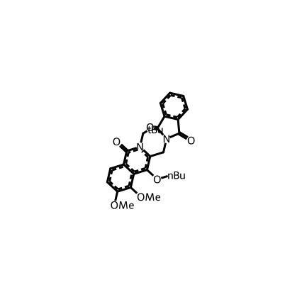 CCCCOc1c(CN2C(=O)c3ccccc3C2=O)n(CC(C)(C)C)c(=O)c2ccc(OC)c(OC)c12